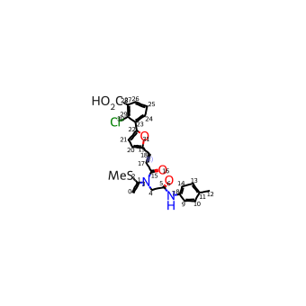 C=C(SC)N(CC(=O)Nc1ccc(C)cc1)C(=O)/C=C/c1ccc(-c2cccc(C(=O)O)c2Cl)o1